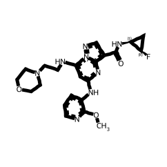 COc1ncccc1Nc1cc(NCCN2CCOCC2)n2ncc(C(=O)N[C@H]3C[C@H]3F)c2n1